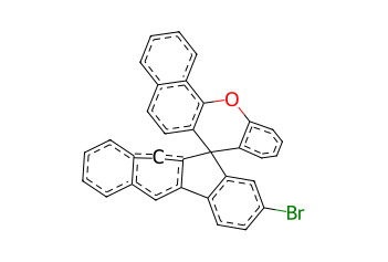 Brc1ccc2c(c1)C1(c3ccccc3Oc3c1ccc1ccccc31)c1cc3ccccc3cc1-2